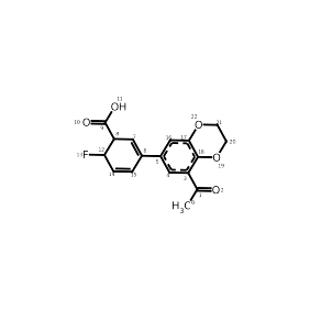 CC(=O)c1cc(C2=CC(C(=O)O)C(F)C=C2)cc2c1OCCO2